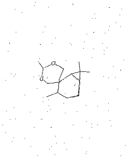 CC1OCC2(CO1)C(C)CCC1C2C1(C)C